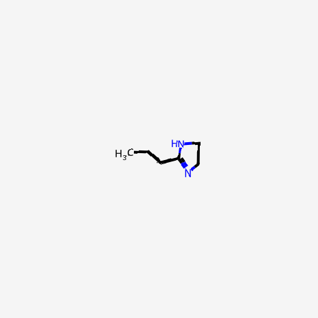 CC[CH]C1=NCCN1